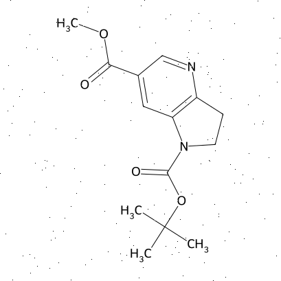 COC(=O)c1cnc2c(c1)N(C(=O)OC(C)(C)C)CC2